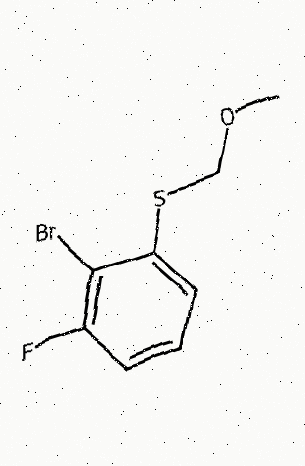 COCSc1cccc(F)c1Br